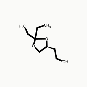 CCC1(CC)OC[C@H](CCO)O1